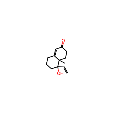 C=CC1(O)CCCC2=CC(=O)CCC21C